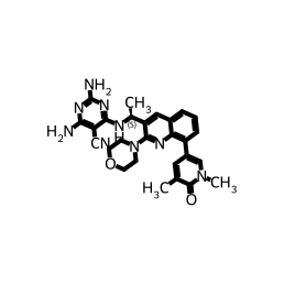 Cc1cc(-c2cccc3cc([C@H](C)Nc4nc(N)nc(N)c4C#N)c(N4CCOCC4)nc23)cn(C)c1=O